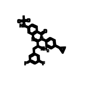 CS(=O)(=O)Nc1ccc2c(=O)n(-c3ccc(C4CC4)cc3)c(C(N)Cc3cc(F)cc(F)c3)nc2c1